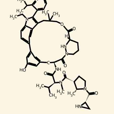 CCn1c(-c2cccnc2C(C)C)c2c3cc(ccc31)-c1cc(O)cc(c1)C[C@H](NC(=O)[C@H](C(C)C)N(C)C(=O)[C@@H]1CCN(C(=O)[C@@H]3CN3)[C@@H]1C)C(=O)N1CCC[C@H](N1)C(=O)OCC(C)(C)C2